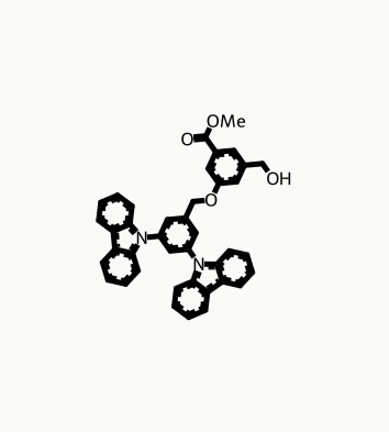 COC(=O)c1cc(CO)cc(OCc2cc(-n3c4ccccc4c4ccccc43)cc(-n3c4ccccc4c4ccccc43)c2)c1